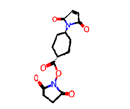 O=C1CCC(=O)N1OC(=O)[C@H]1CC[C@H](N2C(=O)C=CC2=O)CC1